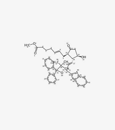 COC(=O)CCC/C=C/C[C@H]1C(=O)C[C@@H](O)[C@@H]1/C=C/[C@@H](O[Si](c1ccccc1)(c1ccccc1)C(C)(C)C)c1cc2ccccc2s1